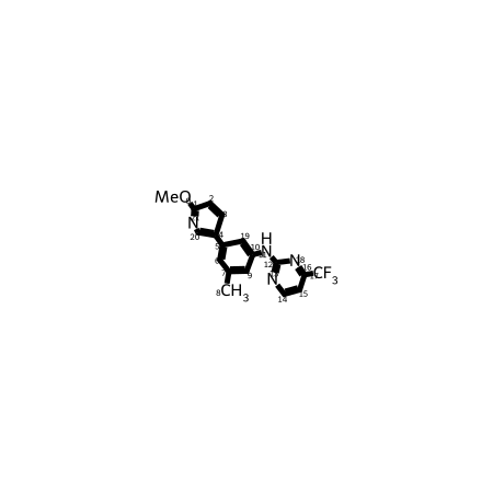 COc1ccc(-c2cc(C)cc(Nc3nccc(C(F)(F)F)n3)c2)cn1